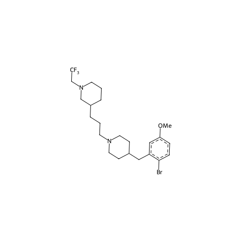 COc1ccc(Br)c(CC2CCN(CCCC3CCCN(CC(F)(F)F)C3)CC2)c1